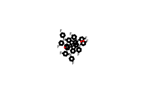 Fc1ccc(N(c2ccc(F)cc2)c2ccc3c(c2)C(c2ccccc2)(C2(c4ccccc4)c4cc(N(c5ccc(F)cc5)c5ccc(F)cc5)ccc4-c4ccc(N(c5ccc(F)cc5)c5ccc(F)cc5)cc42)c2cc(N(c4ccc(F)cc4)c4ccc(F)cc4)ccc2-3)cc1